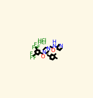 Cc1ccc(C[C@@H]2CN(CC(=O)Nc3cccnc3)CCN2C(=O)c2cc(C(F)(F)F)cc(C(F)(F)F)c2)cc1C.Cl.Cl